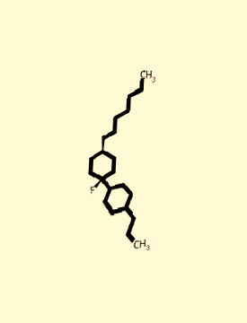 CCCCCCC[C@H]1CC[C@](F)(C2CCC(CCC)CC2)CC1